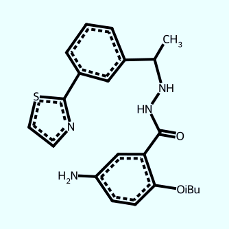 CC(C)COc1ccc(N)cc1C(=O)NNC(C)c1cccc(-c2nccs2)c1